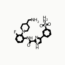 NCC1CCN(c2c(F)cccc2NC(=O)c2nc(-c3cccc(S(N)(=O)=O)c3)c[nH]2)CC1